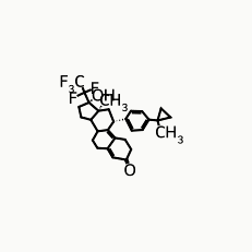 CC1(c2ccc([C@H]3C[C@@]4(C)C(CC[C@@]4(O)C(F)(F)C(F)(F)F)C4CCC5=CC(=O)CCC5=C43)cc2)CC1